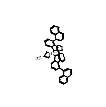 C1=C(C2CCCC2)[CH]([Hf+2]2([CH]3C(C4CCCC4)=Cc4c(-c5cccc6ccccc56)cccc43)[CH2]C[CH2]2)c2cccc(-c3cccc4ccccc34)c21.[Cl-].[Cl-]